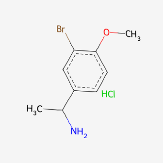 COc1ccc(C(C)N)cc1Br.Cl